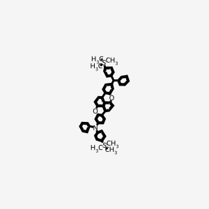 CS(C)(C)c1ccc(C(c2ccccc2)c2ccc3c(c2)Oc2ccc4c5c(ccc-3c25)Oc2cc(N(c3ccccc3)c3ccc(S(C)(C)C)cc3)ccc2-4)cc1